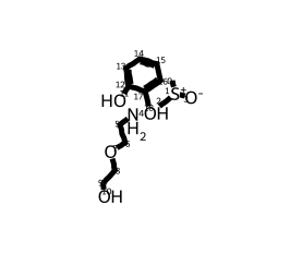 C[S+](C)[O-].NCCOCCO.Oc1ccccc1O